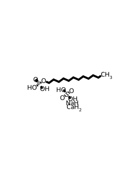 CCCCCCCCCCCCOP(=O)(O)O.O=S(=O)(O)O.[CaH2].[NaH]